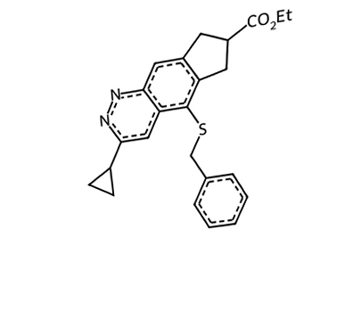 CCOC(=O)C1Cc2cc3nnc(C4CC4)cc3c(SCc3ccccc3)c2C1